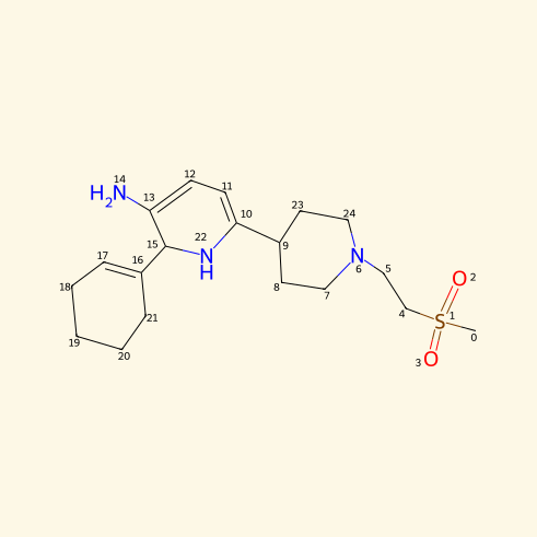 CS(=O)(=O)CCN1CCC(C2=CC=C(N)C(C3=CCCCC3)N2)CC1